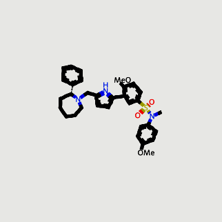 COc1ccc(N(C)S(=O)(=O)c2ccc(OC)c(-c3ccc(CN4CCCCC[C@@H]4c4ccccc4)[nH]3)c2)cc1